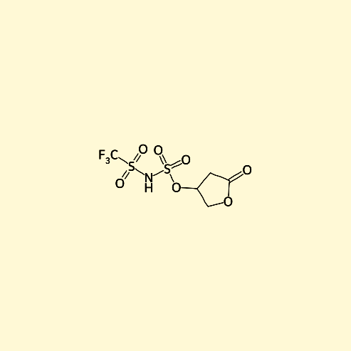 O=C1CC(OS(=O)(=O)NS(=O)(=O)C(F)(F)F)CO1